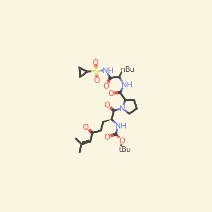 CCCCC(NC(=O)C1CCCN1C(=O)[C@H](CCC(=O)C=C(C)C)NC(=O)OC(C)(C)C)C(=O)NS(=O)(=O)C1CC1